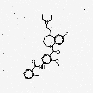 CCN(CC)CCC1CCCN(C(=O)c2ccc(NC(=O)c3ccccc3C)cc2OC)c2ccc(Cl)cc21